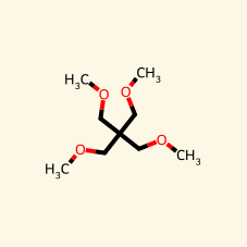 COCC(COC)(COC)COC